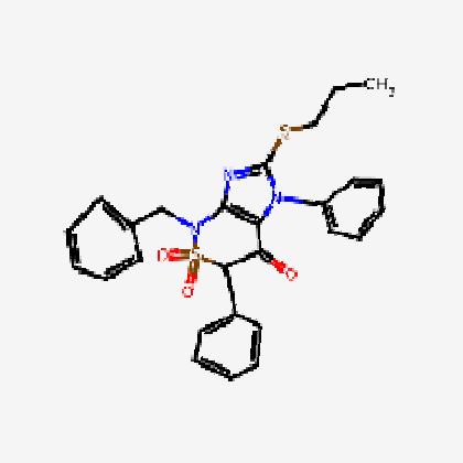 CCCSc1nc2c(n1-c1ccccc1)C(=O)C(c1ccccc1)S(=O)(=O)N2Cc1ccccc1